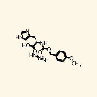 COc1ccc(COC(=O)N[C@@H](Cc2c[nH]cn2)C(=O)O)cc1.[N-]=[N+]=N